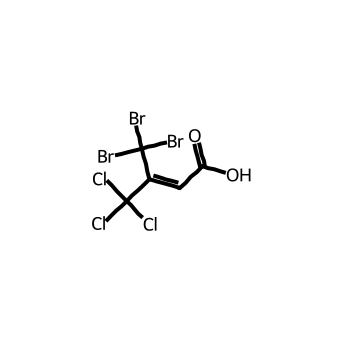 O=C(O)/C=C(/C(Cl)(Cl)Cl)C(Br)(Br)Br